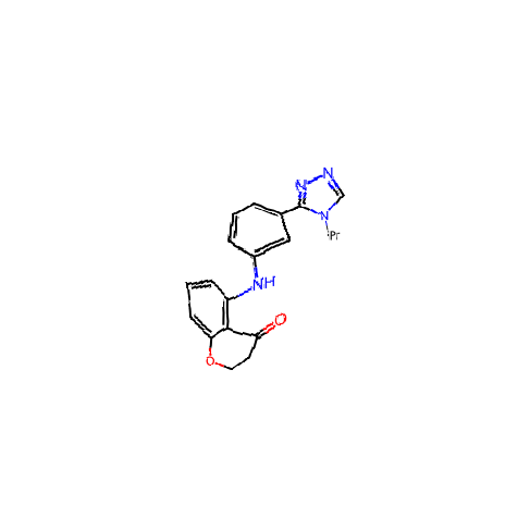 CC(C)n1cnnc1-c1cccc(Nc2cccc3c2C(=O)CCO3)c1